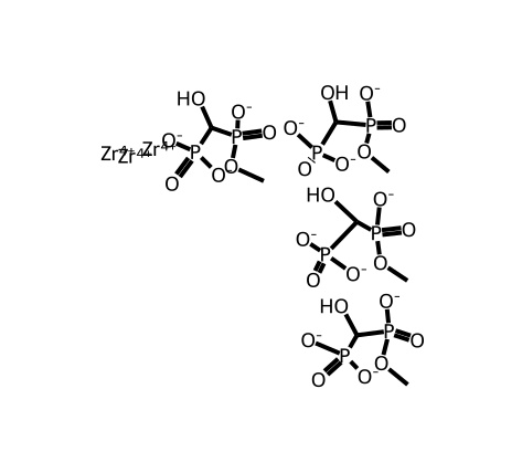 COP(=O)([O-])C(O)P(=O)([O-])[O-].COP(=O)([O-])C(O)P(=O)([O-])[O-].COP(=O)([O-])C(O)P(=O)([O-])[O-].COP(=O)([O-])C(O)P(=O)([O-])[O-].[Zr+4].[Zr+4].[Zr+4]